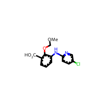 COCOc1c(Nc2ccc(Cl)cn2)cccc1C(=O)O